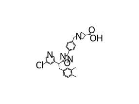 Cc1ccc(CC(c2cncc(Cl)c2)c2nc(-c3ccc(CN4CC(C(=O)O)C4)cc3)no2)cc1C